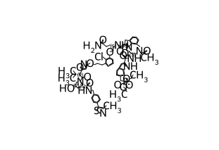 CCOP(=O)(OCC)C(=O)c1ccc2cc(C(=O)N[C@H]3CN(C(C)=O)Cc4cccc5c4N(C3=O)[C@@H](C(=O)N[C@@H](CCC(N)=O)COc3cccc(CCCOc4cc([C@H](C(=O)N6C[C@H](O)C[C@H]6C(=O)NCc6ccc(-c7scnc7C)cc6)C(C)C)on4)c3Cl)C5)[nH]c2c1